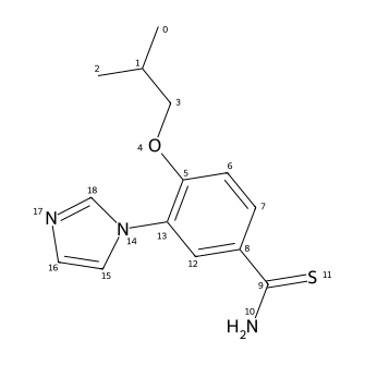 CC(C)COc1ccc(C(N)=S)cc1-n1ccnc1